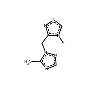 Nc1ncnn1Cc1nncn1I